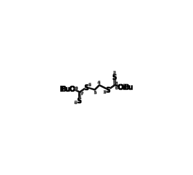 CC(C)COC(=S)SCCSC(=S)OCC(C)C